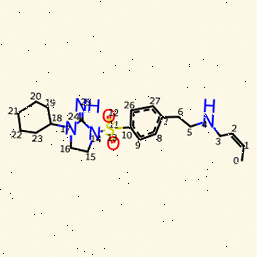 C/C=C\CNCCc1ccc(S(=O)(=O)N2CCN(C3CCCCC3)C2=N)cc1